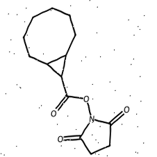 O=C(ON1C(=O)CCC1=O)C1C2CCCCCCC21